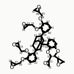 c1cc(OCC2CO2)c(OCC2CO2)c(C23CC4CC(c5cccc(OCC6CO6)c5OCC5CO5)(C2)CC(c2cccc(OCC5CO5)c2OCC2CO2)(C4)C3)c1